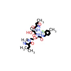 Cc1ccc(CNC(=O)[C@H](COCCN(C)C(=O)/C(C#N)=C/C(C)C)NC(=O)[C@@H](NC(=O)c2cc(C)on2)[C@@H](C)O)c(F)c1